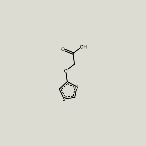 O=C(O)COc1cscn1